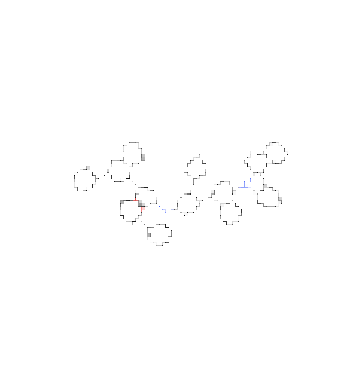 c1ccc(-c2cc(-c3ccc(N(c4ccc(-c5ccc(-n6c7ccccc7c7c8ccccc8ccc76)c6ccccc56)c(-c5ccccc5)c4)c4ccccc4-c4ccccc4)cc3)c3ccccc3c2)cc1